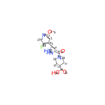 COc1cc(C2=CC(C(=O)N3CCC(C(=O)O)CC3)NN2)c(F)cn1